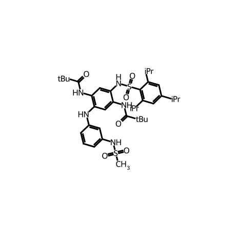 CC(C)c1cc(C(C)C)c(S(=O)(=O)Nc2cc(NC(=O)C(C)(C)C)c(Nc3cccc(NS(C)(=O)=O)c3)cc2NC(=O)C(C)(C)C)c(C(C)C)c1